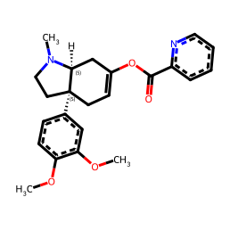 COc1ccc([C@@]23CC=C(OC(=O)c4ccccn4)C[C@@H]2N(C)CC3)cc1OC